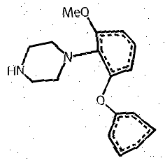 COc1cccc(Oc2ccccc2)c1N1CCNCC1